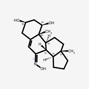 C[C@@]12CCC[C@H]1[C@@H]1/C(=N\O)C=C3C[C@@H](O)C[C@@H](O)[C@]3(C)[C@H]1CC2